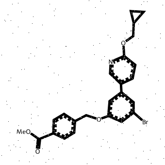 COC(=O)c1ccc(COc2cc(Br)cc(-c3ccc(OCC4CC4)nc3)c2)cc1